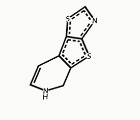 C1=Cc2c(sc3ncsc23)CN1